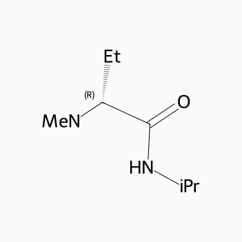 CC[C@@H](NC)C(=O)NC(C)C